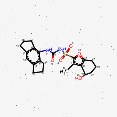 Cc1c(S(=O)(=O)NC(=O)Nc2c3c(cc4c2CCC4)CCC3)oc2c1C(O)CCC2